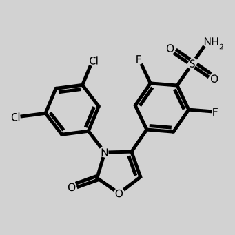 NS(=O)(=O)c1c(F)cc(-c2coc(=O)n2-c2cc(Cl)cc(Cl)c2)cc1F